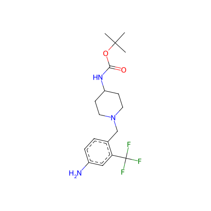 CC(C)(C)OC(=O)NC1CCN(Cc2ccc(N)cc2C(F)(F)F)CC1